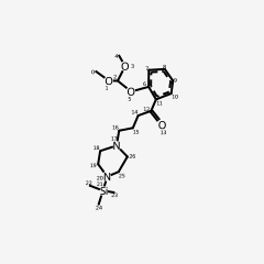 COC(OC)Oc1ccccc1C(=O)CCCN1CCN([Si](C)(C)C)CC1